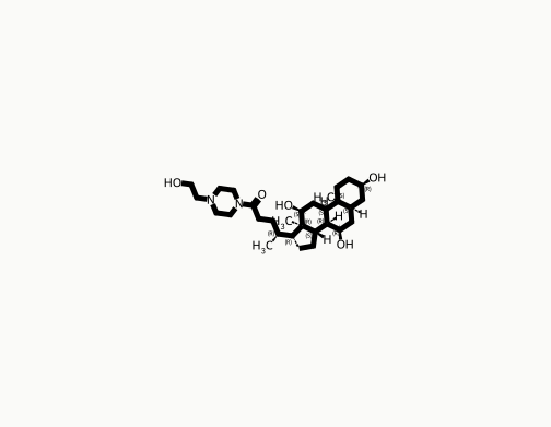 C[C@H](CCC(=O)N1CCN(CCO)CC1)[C@H]1CC[C@H]2[C@@H]3[C@H](O)C[C@@H]4C[C@H](O)CC[C@]4(C)[C@H]3C[C@H](O)[C@]12C